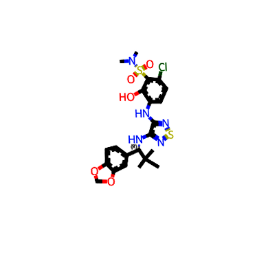 CN(C)S(=O)(=O)c1c(Cl)ccc(Nc2nsnc2N[C@@H](c2ccc3c(c2)OCO3)C(C)(C)C)c1O